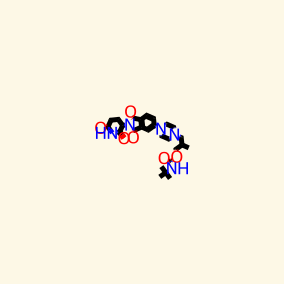 CC(COC(=O)NC(C)(C)C)CN1CCN(c2ccc3c(c2)C(=O)N(C2CCC(=O)NC2=O)C3=O)CC1